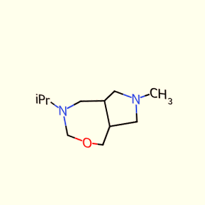 CC(C)N1COCC2CN(C)CC2C1